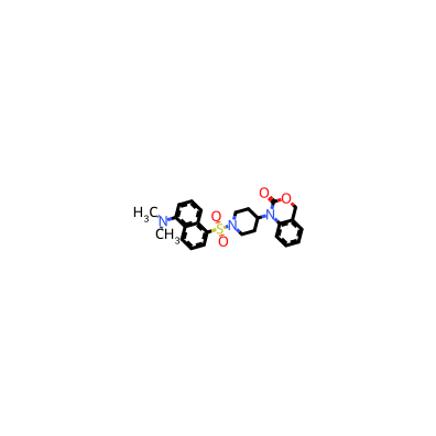 CN(C)c1cccc2c(S(=O)(=O)N3CCC(N4C(=O)OCc5ccccc54)CC3)cccc12